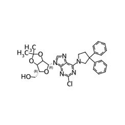 CC1(C)OC2C(O1)[C@@H](CO)O[C@H]2n1cnc2c(N3CCC(c4ccccc4)(c4ccccc4)C3)nc(Cl)nc21